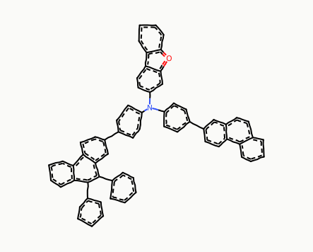 c1ccc(-c2c(-c3ccccc3)c3cc(-c4ccc(N(c5ccc(-c6ccc7c(ccc8ccccc87)c6)cc5)c5ccc6c(c5)oc5ccccc56)cc4)ccc3c3ccccc23)cc1